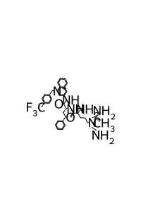 C[N+](CCN)(CCN)CCC[C@H](N)C(=O)N[C@@H](CCc1ccccc1)C(=O)Nc1cc2ccccc2[n+](Cc2ccc(C(F)(F)F)cc2)c1